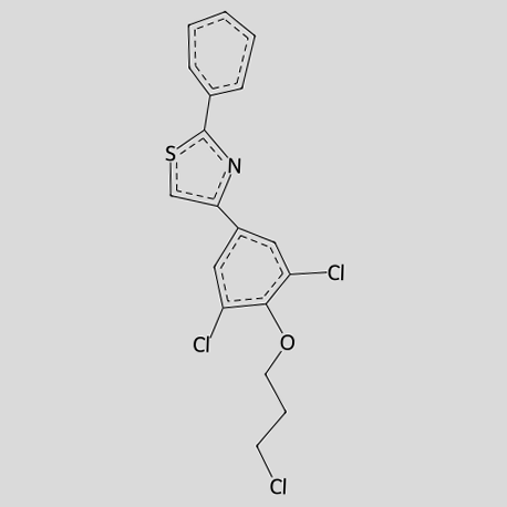 ClCCCOc1c(Cl)cc(-c2csc(-c3ccccc3)n2)cc1Cl